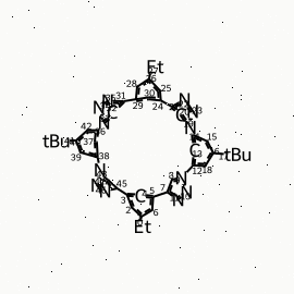 CCc1cc2cc(c1)-c1cn(nn1)-c1cc(cc(C(C)(C)C)c1)-n1cc(nn1)-c1cc(CC)cc(c1)-c1cn(nn1)-c1cc(cc(C(C)(C)C)c1)-n1cc-2nn1